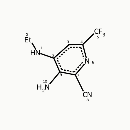 CCNc1cc(C(F)(F)F)nc(C#N)c1N